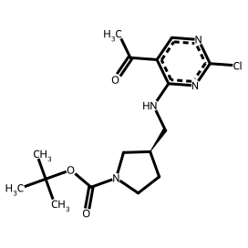 CC(=O)c1cnc(Cl)nc1NC[C@H]1CCN(C(=O)OC(C)(C)C)C1